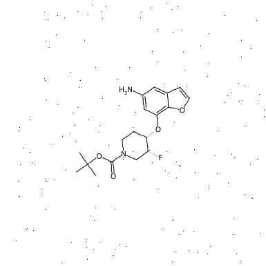 CC(C)(C)OC(=O)N1CC[C@H](Oc2cc(N)cc3ccoc23)[C@H](F)C1